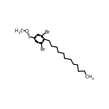 CCCCCCCCCCCCc1c(Br)cc(SOC)cc1Br